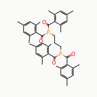 Cc1cc(C)c(C(=O)P(CCCP(C(=O)c2c(C)cc(C)cc2C)C(=O)c2c(C)cc(C)cc2C)C(=O)c2c(C)cc(C)cc2C)c(C)c1